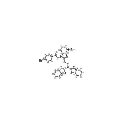 Br.O=C(Cn1c(CC=C(c2cc3ccccc3o2)c2cc3ccccc3o2)nc2ccccc21)c1ccc(Br)cc1